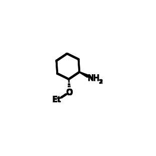 CCO[C@@H]1CCCC[C@H]1N